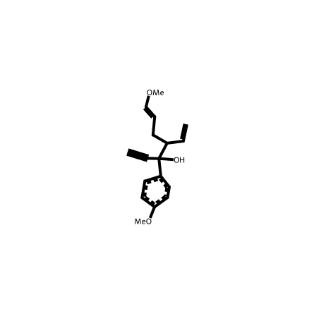 C#CC(O)(c1ccc(OC)cc1)C(C=C)C/C=C/OC